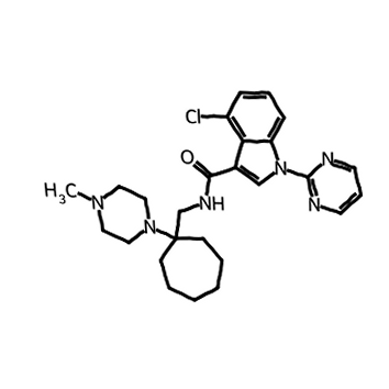 CN1CCN(C2(CNC(=O)c3cn(-c4ncccn4)c4cccc(Cl)c34)CCCCCC2)CC1